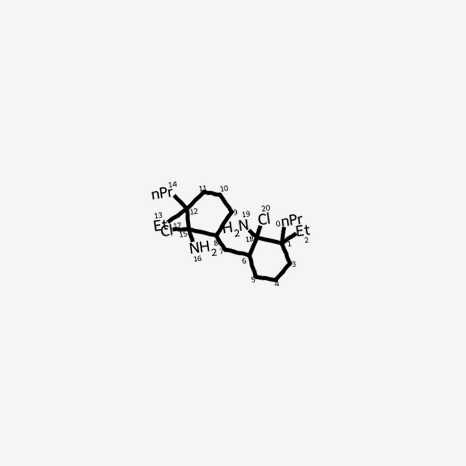 CCCC1(CC)CCCC(CC2CCCC(CC)(CCC)C2(N)Cl)C1(N)Cl